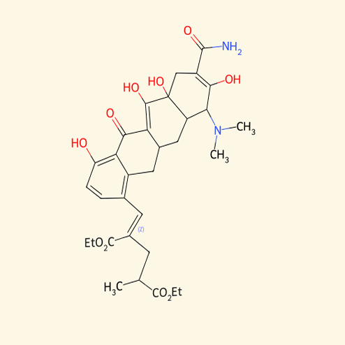 CCOC(=O)/C(=C\c1ccc(O)c2c1CC1CC3C(N(C)C)C(O)=C(C(N)=O)CC3(O)C(O)=C1C2=O)CC(C)C(=O)OCC